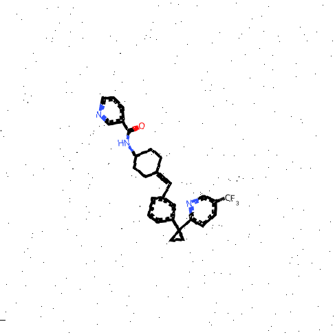 O=C(NC1CCC(=Cc2cccc(C3(c4ccc(C(F)(F)F)cn4)CC3)c2)CC1)c1cccnc1